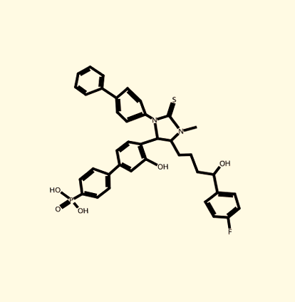 CN1C(=S)N(c2ccc(-c3ccccc3)cc2)C(c2ccc(-c3ccc(P(=O)(O)O)cc3)cc2O)C1CCCC(O)c1ccc(F)cc1